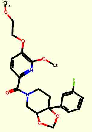 CCOc1nc(C(=O)N2CCC3(c4cccc(F)c4)OCOC3C2)ccc1OCCOC(F)(F)F